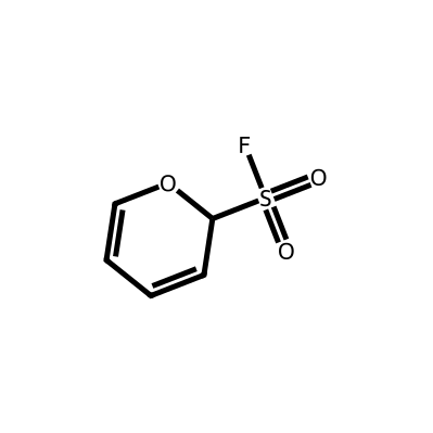 O=S(=O)(F)C1C=CC=CO1